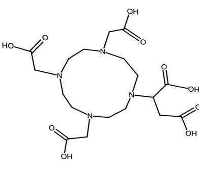 O=C(O)CC(C(=O)O)N1CCN(CC(=O)O)CCN(CC(=O)O)CCN(CC(=O)O)CC1